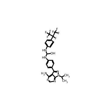 CC(C)n1nc(-c2ccc(NC(O)Nc3ccc(C(F)(C(F)(F)F)C(F)(F)F)cc3)cc2)c2c(N)ncnc21